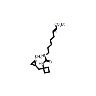 CCOC(=O)/C=C/CCCCCNC(=O)NC1(CC2C[C@@H]2C)CCC1